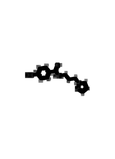 O=C(NCCCn1cccn1)c1ccc(O)cc1